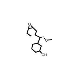 COO[C@@H](C1CCCC(O)C1)[C@@H]1CCC2OC2C1